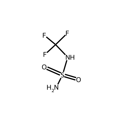 NS(=O)(=O)NC(F)(F)F